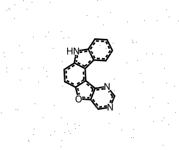 c1ccc2c(c1)[nH]c1ccc3oc4cncnc4c3c12